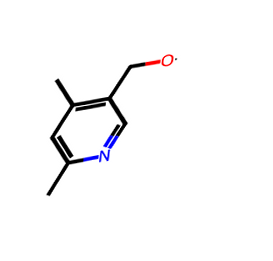 Cc1cc(C)c(C[O])cn1